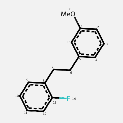 COc1cccc(CCc2ccccc2F)c1